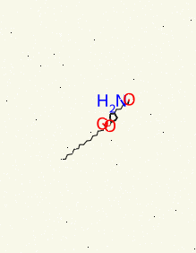 CCCCCCCCCCCCCCC(=O)Oc1ccc(CCC(N)C=O)cc1